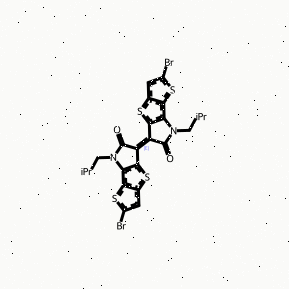 CC(C)CN1C(=O)/C(=C2/C(=O)N(CC(C)C)c3c2sc2cc(Br)sc32)c2sc3cc(Br)sc3c21